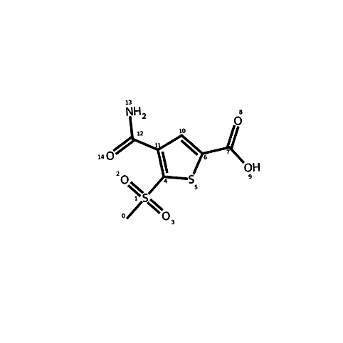 CS(=O)(=O)c1sc(C(=O)O)cc1C(N)=O